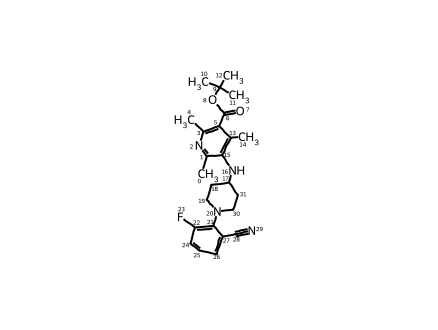 Cc1nc(C)c(C(=O)OC(C)(C)C)c(C)c1NC1CCN(c2c(F)cccc2C#N)CC1